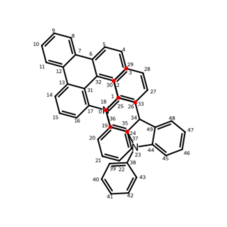 C1=C(c2cccc3c4ccccc4c4cccc(N(c5ccccc5)c5ccccc5)c4c23)CC2C(=C1)N(c1ccccc1)c1ccccc12